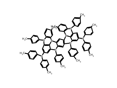 Cc1ccc(N(c2ccc(C)cc2)c2cc3c4c(c2)N(c2ccc(C)cc2)c2cc5c(cc2B4c2cc(C)ccc2N3c2ccc(C)cc2)B2c3cc(C)ccc3N(c3ccc(C)cc3)c3cc(N(c4ccc(C)cc4)c4ccc(C)cc4)cc(c32)N5c2ccc(C)cc2)cc1